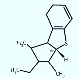 CCC1C(C)C2C3=C(C=CCC3)S[C@@H]2C1C